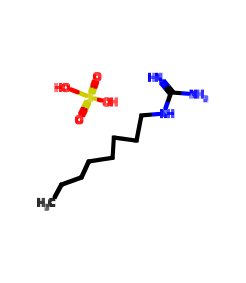 CCCCCCCCNC(=N)N.O=S(=O)(O)O